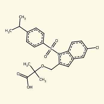 CC(C)c1ccc(S(=O)(=O)n2c(COC(C)(C)C(=O)O)cc3cc(Cl)ccc32)cc1